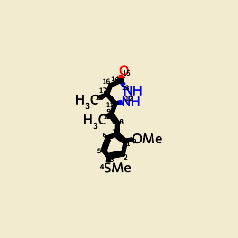 COc1cc(SC)ccc1/C=C(\C)C1NNC(=O)CC1C